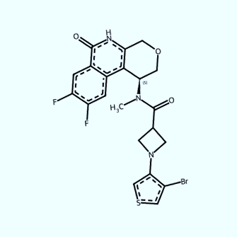 CN(C(=O)C1CN(c2cscc2Br)C1)[C@@H]1COCc2[nH]c(=O)c3cc(F)c(F)cc3c21